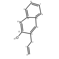 C=CCc1cc2ccccc2nc1[O]